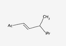 CC(=O)C=CC(C)C(C)C